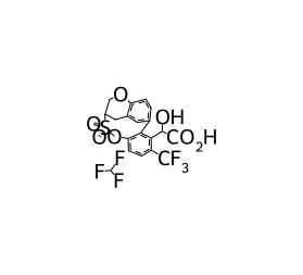 FC(F)F.O=C(O)C(O)c1c(C(F)(F)F)ccc2c1-c1ccc3c(c1)CC(CO3)S(=O)(=O)O2